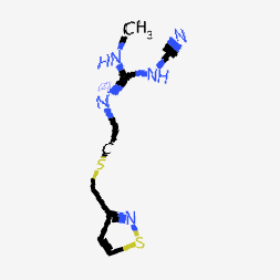 CN/C(=N/CCSCc1ccsn1)NC#N